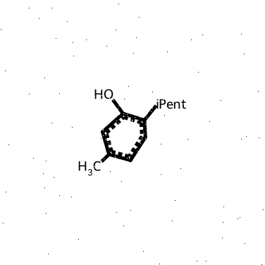 CCCC(C)c1ccc(C)cc1O